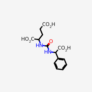 O=C(O)CCC(NC(=O)NC(C(=O)O)c1ccccc1)C(=O)O